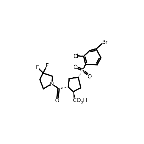 O=C(O)[C@@H]1C[C@@H](S(=O)(=O)c2ccc(Br)cc2Cl)C[C@H]1C(=O)N1CCC(F)(F)C1